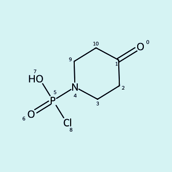 O=C1CCN(P(=O)(O)Cl)CC1